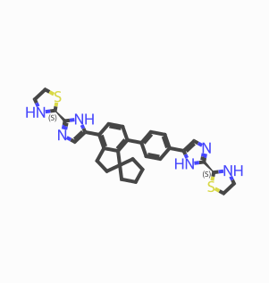 c1cc(-c2ccc(-c3cnc([C@H]4NCCS4)[nH]3)c3c2C2(CCCC2)CC3)ccc1-c1cnc([C@H]2NCCS2)[nH]1